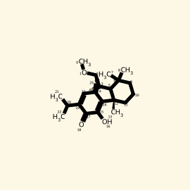 COCC(=O)C1C(C)(C)CCC[C@]1(C)C1=C(O)C(=O)C(C(C)C)=CC1=O